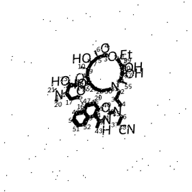 CC[C@H]1OC(=O)[C@H](C)[C@@H](O)[C@H](C)[C@@H](O[C@@H]2O[C@H](C)C[C@H](N(C)C)[C@H]2O)[C@](C)(O)C[C@@H](C)CN(CCCN(CCC#N)C(=O)NC(C)c2cccc3ccccc23)[C@H](C)[C@@H](O)[C@]1(C)O